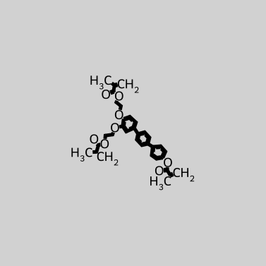 C=C(C)C(=O)OCCOc1ccc(-c2ccc(-c3ccc(OC(=O)C(=C)C)cc3)cc2)cc1OCCOC(=O)C(=C)C